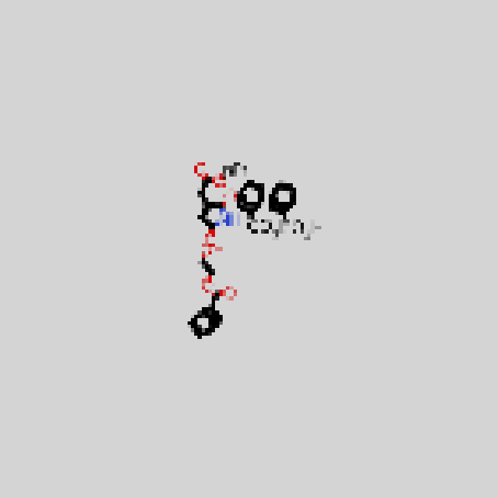 CCCOC(=O)CC1=CC(=O)NC1=O.O=C(O)C1CC2C=CC1C2.O=C(O)C1CC2C=CC1C2.O=C(OCCO)C1CC2C=CC1C2